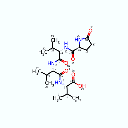 CC(C)[C@H](NC(=O)[C@@H](NC(=O)[C@@H](NC(=O)[C@@H]1CCC(=O)N1)C(C)C)C(C)C)C(=O)O